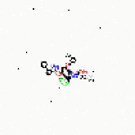 N#Cc1cccc(COc2cc(Oc3ncnc4c(-c5ccccc5)cccc34)c(Cl)cc2CNC(CO)C(=O)O)c1